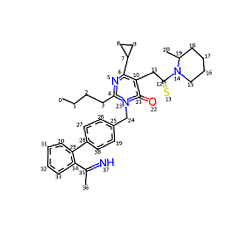 CCCCc1nc(C2CC2)c(CC(=S)N2CCCCC2C)c(=O)n1Cc1ccc(-c2ccccc2C(C)=N)cc1